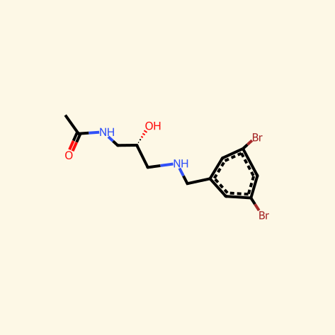 CC(=O)NC[C@H](O)CNCc1cc(Br)cc(Br)c1